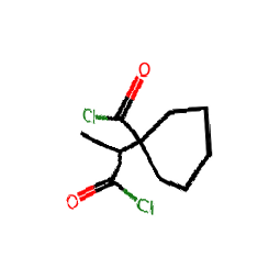 CC(C(=O)Cl)C1(C(=O)Cl)CCCCC1